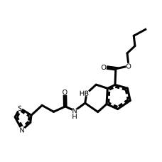 CCCCOC(=O)c1cccc2c1CBC(NC(=O)CCc1cncs1)C2